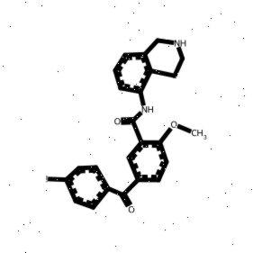 COc1ccc(C(=O)c2ccc(I)cc2)cc1C(=O)Nc1cccc2c1CCNC2